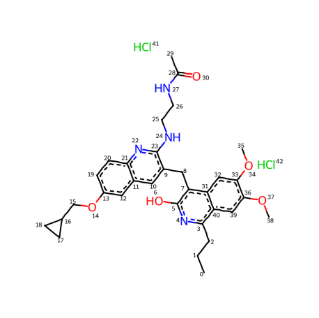 CCCc1nc(O)c(Cc2cc3cc(OCC4CC4)ccc3nc2NCCNC(C)=O)c2cc(OC)c(OC)cc12.Cl.Cl